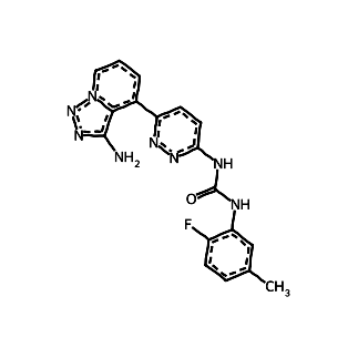 Cc1ccc(F)c(NC(=O)Nc2ccc(-c3cccn4nnc(N)c34)nn2)c1